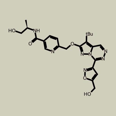 C[C@H](CO)NC(=O)c1ccc(COc2nn3c(-c4cc(CO)on4)nncc3c2C(C)(C)C)nc1